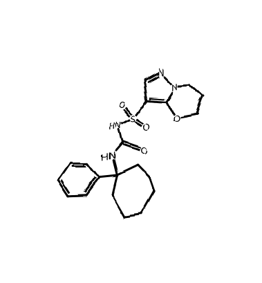 O=C(NC1(c2ccccc2)CCCCCC1)NS(=O)(=O)c1cnn2c1OCCC2